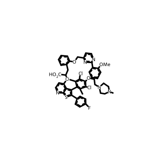 COc1ccccc1-c1nccc(COc2ccccc2CC(Oc2ccnc3sc(-c4ccc(F)cc4)c(-c4c(C)c(Cl)c(OCCN5CCN(C)CC5)c(Cl)c4C)c23)C(=O)O)n1